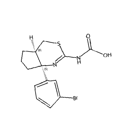 O=C(O)NC1=N[C@@]2(c3cccc(Br)c3)CCC[C@H]2CS1